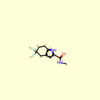 CNC(=O)c1cc2c([nH]1)CCC(F)(F)C2